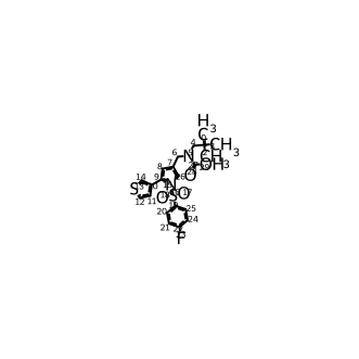 CC(C)(C)CN(Cc1cc(-c2ccsc2)n(S(=O)(=O)c2ccc(F)cc2)c1)C(=O)O